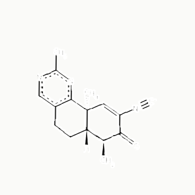 [C-]#[N+]C1=C[C@]2(C)c3nc(C)ncc3CC[C@H]2[C@H](C)C1=O